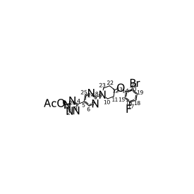 CC(=O)On1nnc(-c2cnc(N3CCC(Oc4cc(F)ccc4Br)CC3)nc2)n1